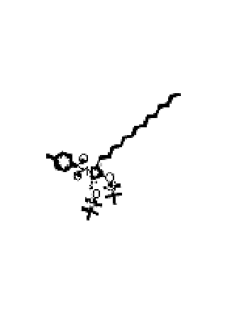 CCCCCCCCCCCCCC[C@H]1[C@@H](O[Si](C)(C)C(C)(C)C)[C@H](CO[Si](C)(C)C(C)(C)C)N1S(=O)(=O)c1ccc(C)cc1